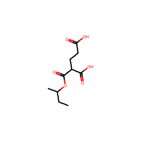 CCC(C)OC(=O)C(CCC(=O)O)C(=O)O